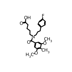 COc1cc(C(=O)N(CCCCC(=O)O)CCCc2ccc(F)cc2)cc(OC)c1C